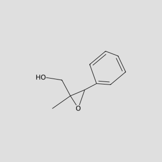 CC1(CO)OC1c1ccccc1